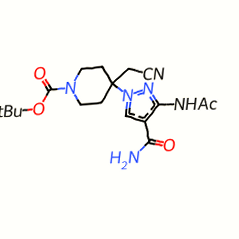 CC(=O)Nc1nn(C2(CC#N)CCN(C(=O)OC(C)(C)C)CC2)cc1C(N)=O